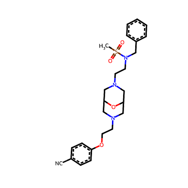 CS(=O)(=O)N(CCN1CC2CN(CCOc3ccc(C#N)cc3)CC(C1)O2)Cc1ccccc1